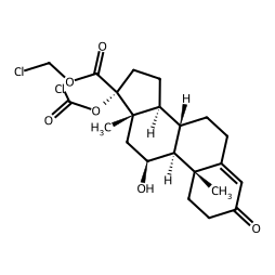 C[C@]12CCC(=O)C=C1CC[C@@H]1[C@@H]2[C@@H](O)C[C@@]2(C)[C@H]1CC[C@]2(OC(=O)Cl)C(=O)OCCl